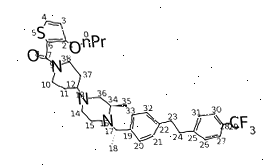 CCCOc1ccsc1C(=O)N1CCC(N2CCN([C@@H](C)c3ccc(CCc4ccc(C(F)(F)F)cc4)cc3)[C@H](C)C2)CC1